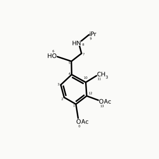 CC(=O)Oc1ccc(C(O)CNC(C)C)c(C)c1OC(C)=O